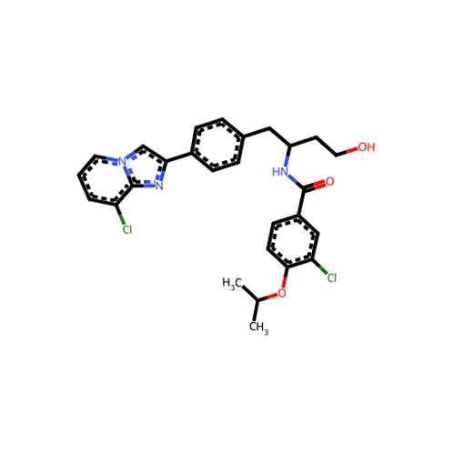 CC(C)Oc1ccc(C(=O)NC(CCO)Cc2ccc(-c3cn4cccc(Cl)c4n3)cc2)cc1Cl